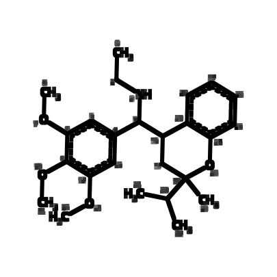 CCNC(c1cc(OC)c(OC)c(OC)c1)C1CC(C)(C(C)C)Oc2ccccc21